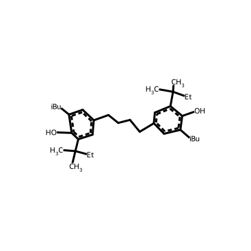 CCC(C)c1cc(CCCCc2cc(C(C)CC)c(O)c(C(C)(C)CC)c2)cc(C(C)(C)CC)c1O